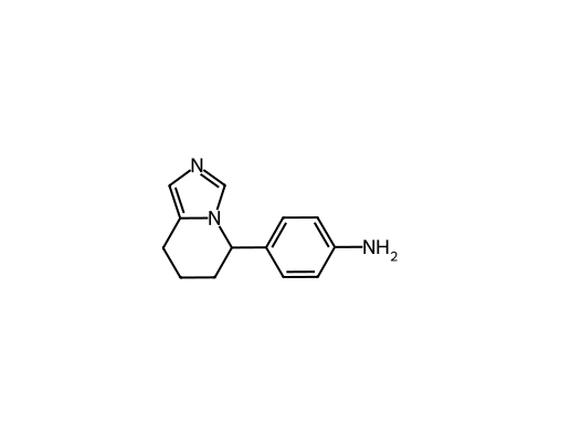 Nc1ccc(C2CCCc3cncn32)cc1